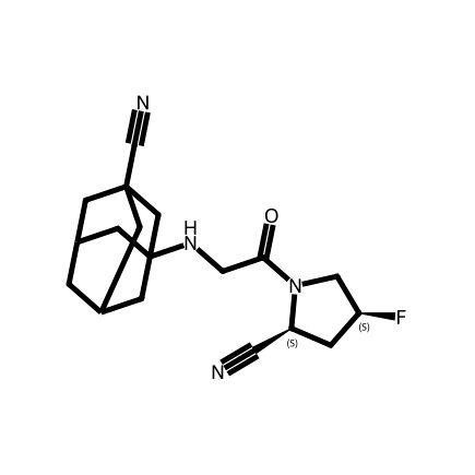 N#C[C@@H]1C[C@H](F)CN1C(=O)CNC12CC3CC(CC(C#N)(C3)C1)C2